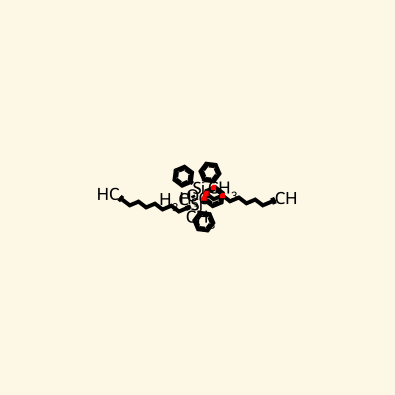 C#CCCCCCCCC(C)(C)[Si](O[Si](c1ccccc1)(c1ccccc1)C(C)(C)CCCCCCCC#C)(c1ccccc1)c1ccccc1